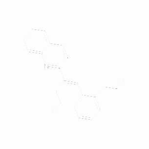 C=CCC(=Cc1ccccc1CC=C)c1ccc2ccccc2n1